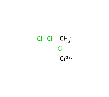 [CH2].[Cl-].[Cl-].[Cl-].[Cr+3]